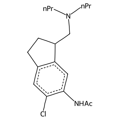 CCCN(CCC)CC1CCc2cc(Cl)c(NC(C)=O)cc21